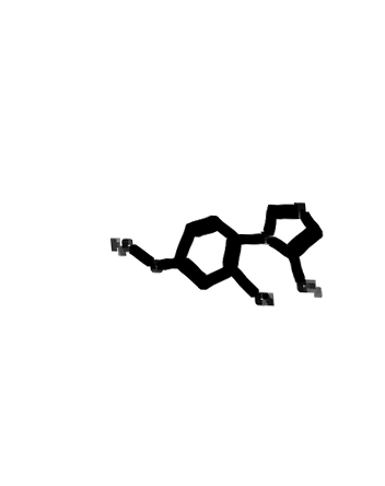 Cc1cncn1-c1ccc(OC(F)(F)F)cc1C#N